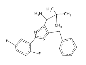 CC(C)(C)C(N)c1nc(-c2cc(F)ccc2F)sc1Cc1ccccc1